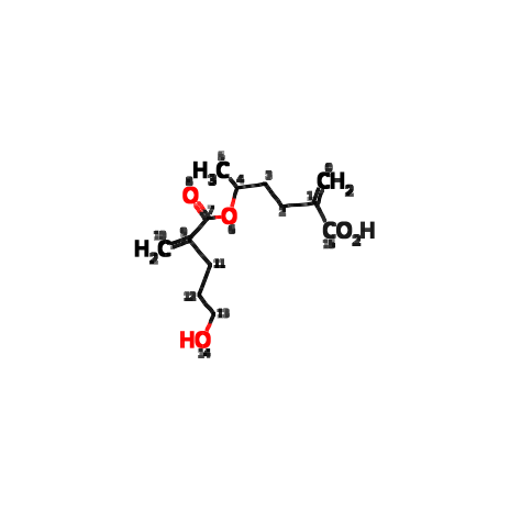 C=C(CCC(C)OC(=O)C(=C)CCCO)C(=O)O